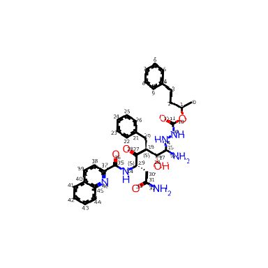 CC(CCc1ccccc1)OC(=O)NNC(N)[C@H](O)[C@H](Cc1ccccc1)C(=O)[C@H](CC(N)=O)NC(=O)c1ccc2ccccc2n1